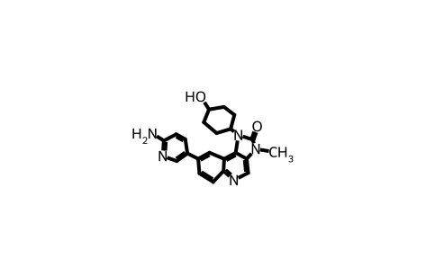 Cn1c(=O)n(C2CCC(O)CC2)c2c3cc(-c4ccc(N)nc4)ccc3ncc21